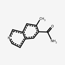 Cc1cc2cnccc2cc1C(N)=O